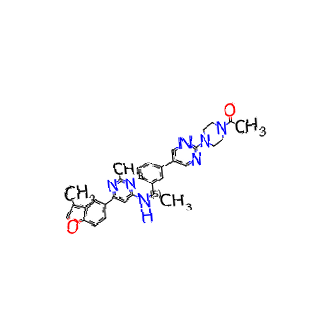 CC(=O)N1CCN(c2ncc(-c3cccc([C@H](C)Nc4cc(-c5ccc6occ(C)c6c5)nc(C)n4)c3)cn2)CC1